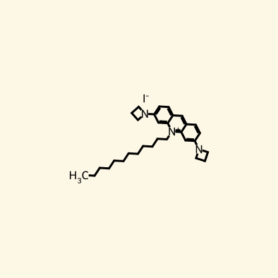 CCCCCCCCCCCC[n+]1c2cc(N3CCC3)ccc2cc2ccc(N3CCC3)cc21.[I-]